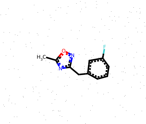 Cc1nc(Cc2cccc(F)c2)no1